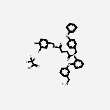 NCc1cccc(Oc2ccccc2N(Cc2ccc(Oc3ccccc3)cc2)C(=O)CCC(=O)NCc2ccc(F)c(F)c2)c1.O=C(O)C(F)(F)F